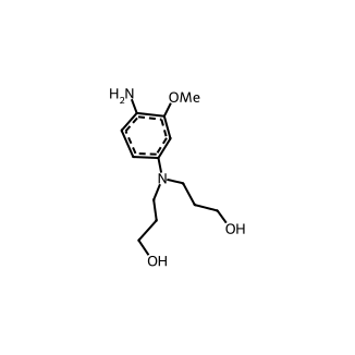 COc1cc(N(CCCO)CCCO)ccc1N